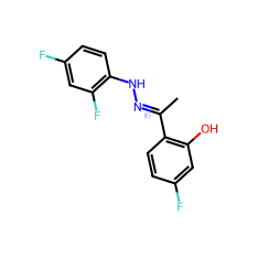 C/C(=N\Nc1ccc(F)cc1F)c1ccc(F)cc1O